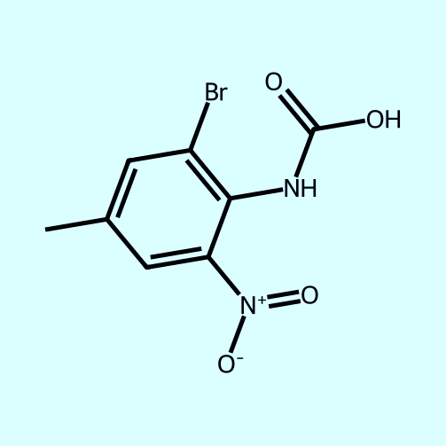 Cc1cc(Br)c(NC(=O)O)c([N+](=O)[O-])c1